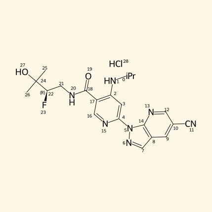 CC(C)Nc1cc(-n2ncc3cc(C#N)cnc32)ncc1C(=O)NC[C@@H](F)C(C)(C)O.Cl